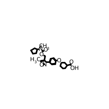 Cc1onc(-c2ccc(OC3CCCC(C(=O)O)C3)cc2)c1COC(=O)N(C)C1CCCC1